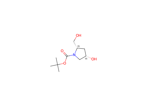 CC(C)(C)OC(=O)N1C[C@@H](O)C[C@H]1CO